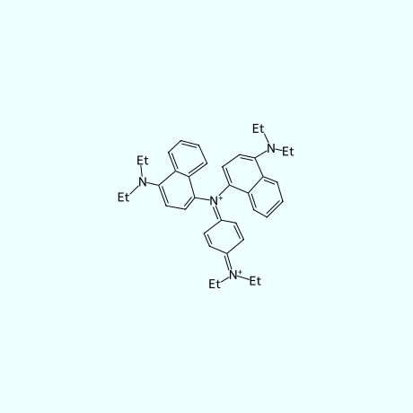 CCN(CC)c1ccc([N+](=C2C=CC(=[N+](CC)CC)C=C2)c2ccc(N(CC)CC)c3ccccc23)c2ccccc12